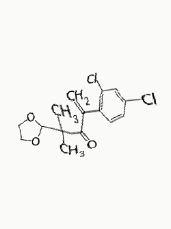 C=C(C(=O)C(C)(C)C1OCCO1)c1ccc(Cl)cc1Cl